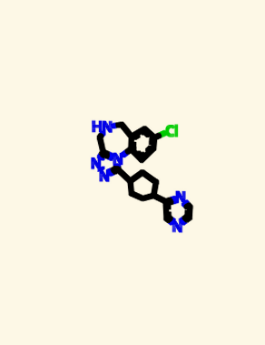 Clc1ccc2c(c1)CNCc1nnc(C3CCC(c4cnccn4)CC3)n1-2